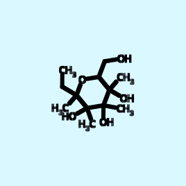 CCC1(C)OC(CO)C(C)(O)C(C)(O)C1(C)O